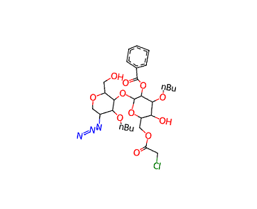 CCCCOC1C(N=[N+]=[N-])COC(CO)C1OC1OC(COC(=O)CCl)C(O)C(OCCCC)C1OC(=O)c1ccccc1